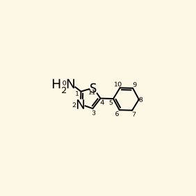 Nc1ncc(C2=CCCC=C2)s1